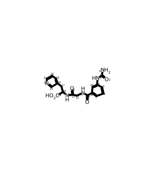 NC(=O)Nc1cccc(C(=O)NCC(=O)NC(Cc2cccnc2)C(=O)O)c1